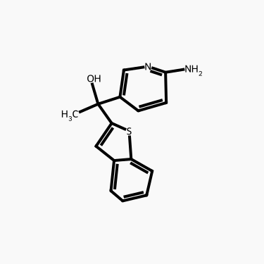 CC(O)(c1ccc(N)nc1)c1cc2ccccc2s1